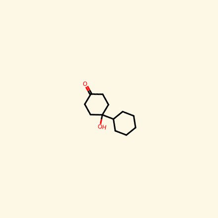 O=C1CCC(O)(C2CCCCC2)CC1